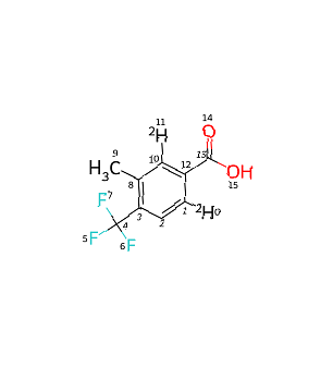 [2H]c1cc(C(F)(F)F)c(C)c([2H])c1C(=O)O